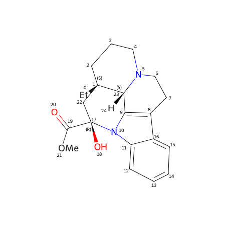 CC[C@]12CCCN3CCc4c(n(c5ccccc45)[C@](O)(C(=O)OC)C1)[C@@H]32